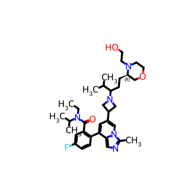 CCN(C(=O)c1cc(F)ccc1-c1cc(C2CN(C(CC[C@@H]3COCCN3CCO)C(C)C)C2)cn2c(C)ncc12)C(C)C